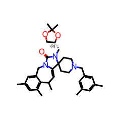 Cc1cc(C)cc(CN2CCC3(CC2)C2=CC(C)c4c(C)cc(C)cc4CN2C(=O)N3C[C@@H]2COC(C)(C)O2)c1